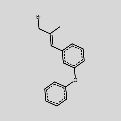 C/C(=C\c1cccc(Oc2ccccc2)c1)CBr